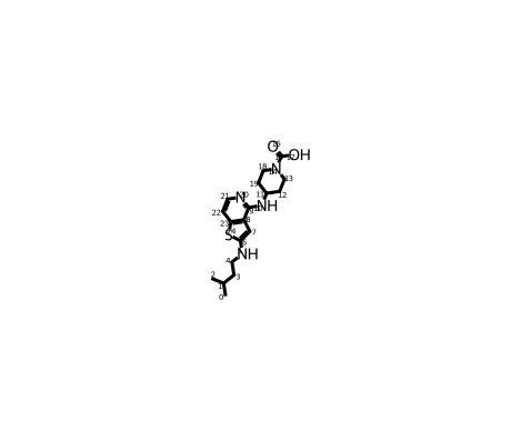 CC(C)CCNc1cc2c(NC3CCN(C(=O)O)CC3)nccc2s1